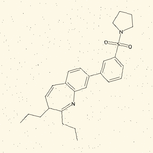 CCCC1=Nc2cc(-c3cccc(S(=O)(=O)N4CCCC4)c3)ccc2C=CC1CCC